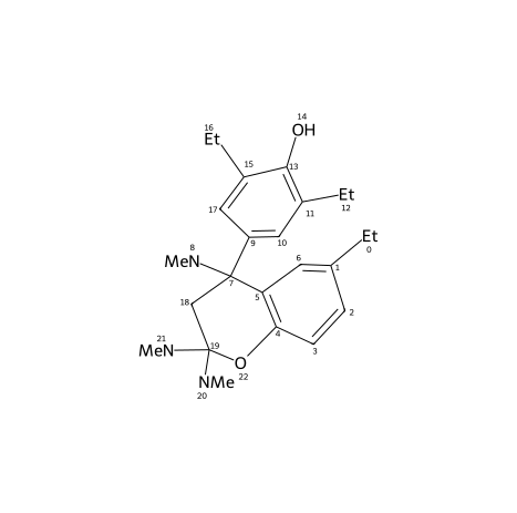 CCc1ccc2c(c1)C(NC)(c1cc(CC)c(O)c(CC)c1)CC(NC)(NC)O2